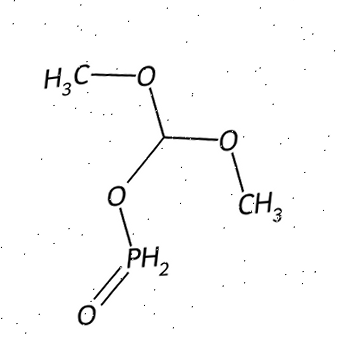 COC(OC)O[PH2]=O